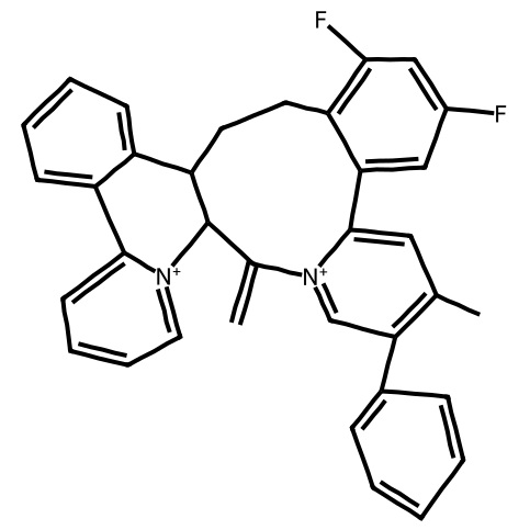 C=C1C2C(CCc3c(F)cc(F)cc3-c3cc(C)c(-c4ccccc4)c[n+]31)c1ccccc1-c1cccc[n+]12